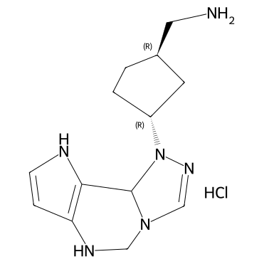 Cl.NC[C@@H]1CC[C@@H](N2N=CN3CNc4cc[nH]c4C32)C1